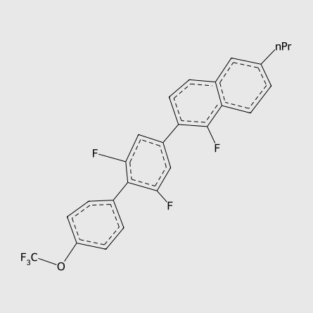 CCCc1ccc2c(F)c(-c3cc(F)c(-c4ccc(OC(F)(F)F)cc4)c(F)c3)ccc2c1